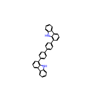 c1ccc2c(c1)[nH]c1c(-c3ccc(-c4ccc(-c5cccc6c5[nH]c5ccccc56)cc4)cc3)cccc12